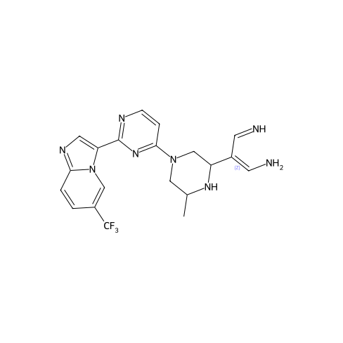 CC1CN(c2ccnc(-c3cnc4ccc(C(F)(F)F)cn34)n2)CC(/C(C=N)=C/N)N1